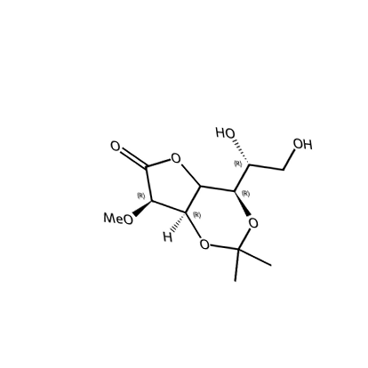 CO[C@H]1C(=O)OC2[C@H]1OC(C)(C)O[C@@H]2[C@H](O)CO